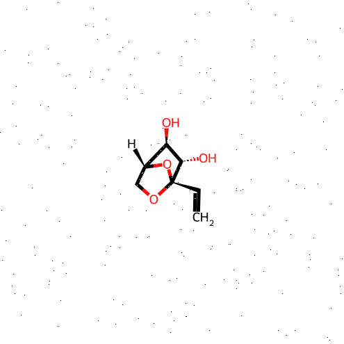 C=C[C@@]12OC[C@@H](O1)[C@@H](O)[C@@H]2O